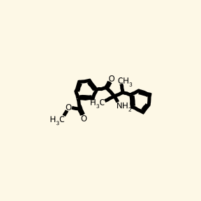 COC(=O)c1cccc(C(=O)C(C)(N)C(C)c2ccccc2)c1